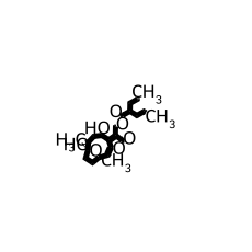 CCCC(CCC)C(=O)OCC1=C2/C(=C\[C@@]3(C)CC[C@](O)(O3)[C@H](C)C[C@@H]2O)OC1=O